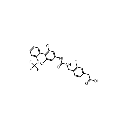 O=C(O)Cc1ccc(CNC(=O)Nc2cc(Cl)c(-c3ccccc3OC(F)(F)F)c(Cl)c2)c(F)c1